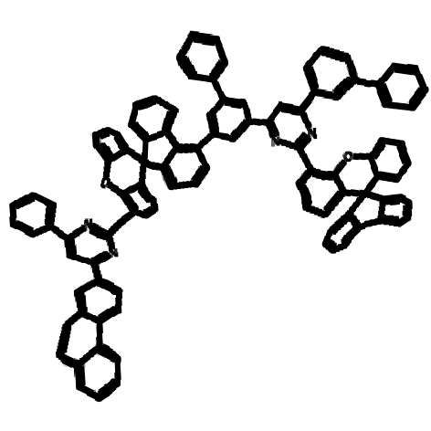 c1ccc(-c2cccc(-c3cc(-c4cc(-c5ccccc5)cc(-c5cccc6c5-c5ccccc5C65c6ccccc6Oc6c(-c7nc(-c8ccccc8)cc(-c8ccc9c(ccc%10ccccc%109)c8)n7)cccc65)c4)nc(-c4cccc5c4Oc4ccccc4C54c5ccccc5-c5ccccc54)n3)c2)cc1